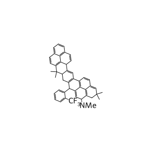 CNC1C=C2c3c(ccc4c3=C1CC(C)(C)C=4)C1=C(CC3C(=C1)C1C=Cc4cccc5ccc(c1c45)C3(C)C)C2c1ccccc1C(F)(F)F